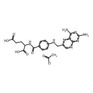 CC(=O)Cl.Nc1nc(N)c2nc(CNc3ccc(C(=O)NC(CCC(=O)O)C(=O)O)cc3)cnc2n1